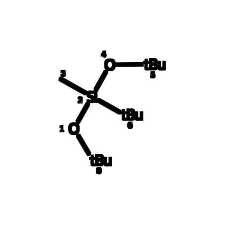 CC(C)(C)O[Si](C)(OC(C)(C)C)C(C)(C)C